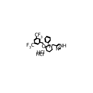 Cl.Cl.FC(F)(F)c1cc(CO[C@H]2CCCN(Cc3c[nH]cn3)[C@H]2c2ccccc2)cc(C(F)(F)F)c1